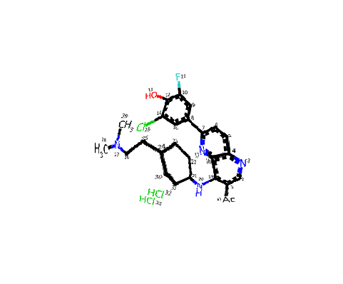 CC(=O)c1cnc2ccc(-c3cc(F)c(O)c(Cl)c3)nc2c1NC1CCC(CCN(C)C)CC1.Cl.Cl